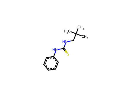 CC(C)(C)CNC(=S)Nc1ccccc1